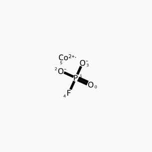 O=P([O-])([O-])F.[Co+2]